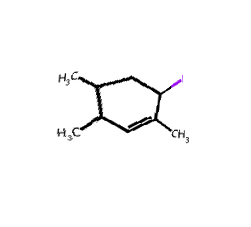 CC1=CC(C)C(C)CC1I